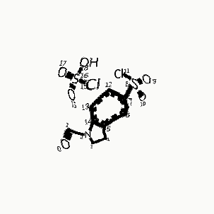 O=CN1CCc2cc(S(=O)(=O)Cl)ccc21.O=S(=O)(O)Cl